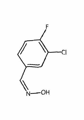 O/N=C\c1ccc(F)c(Cl)c1